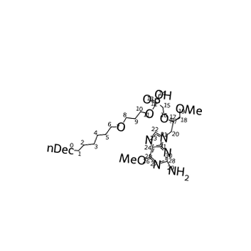 CCCCCCCCCCCCCCCCOCCCOP(=O)(O)CO[C@@H](COC)Cn1cnc2c(OC)nc(N)nc21